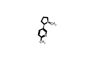 Cc1ccc([C@H]2CCCN2C)cn1